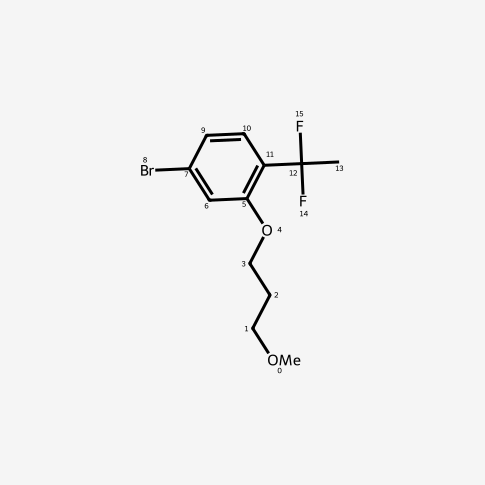 COCCCOc1cc(Br)ccc1C(C)(F)F